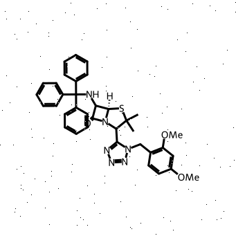 COc1ccc(Cn2nnnc2C2N3C(=O)C(NC(c4ccccc4)(c4ccccc4)c4ccccc4)[C@H]3SC2(C)C)c(OC)c1